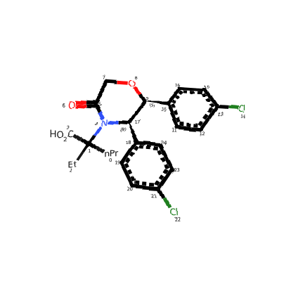 CCCC(CC)(C(=O)O)N1C(=O)CO[C@@H](c2ccc(Cl)cc2)[C@H]1c1ccc(Cl)cc1